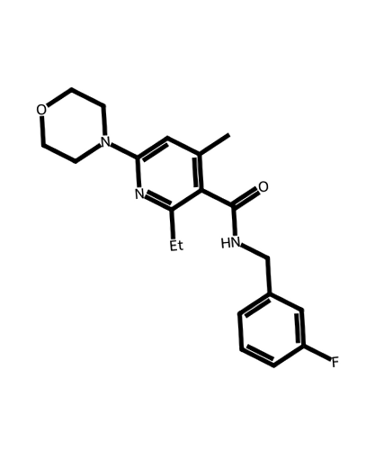 CCc1nc(N2CCOCC2)cc(C)c1C(=O)NCc1cccc(F)c1